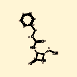 O=C(N[C@H]1C(=O)N[C@H]1CS)OCc1ccccc1